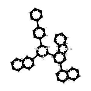 c1ccc(-c2ccc(-c3nc(-c4ccc5ccccc5c4)nc(-c4cc(-c5cccc6ccccc56)cc5oc6ccccc6c45)n3)cc2)cc1